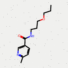 CCCOCCCNC(=O)c1ccc(C)nc1